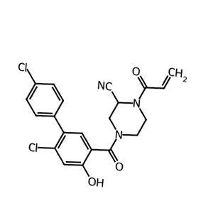 C=CC(=O)N1CCN(C(=O)c2cc(-c3ccc(Cl)cc3)c(Cl)cc2O)CC1C#N